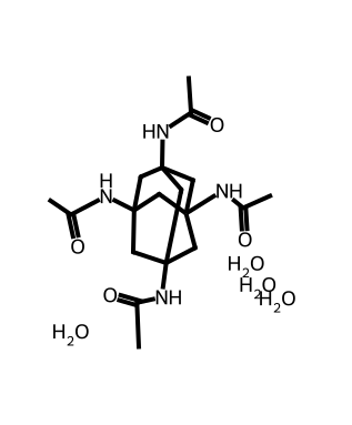 CC(=O)NC12CC3(NC(C)=O)CC(NC(C)=O)(C1)CC(NC(C)=O)(C2)C3.O.O.O.O